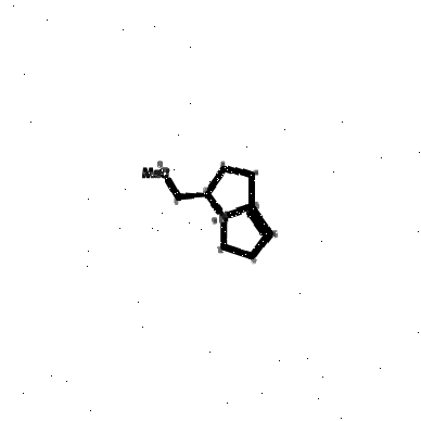 COC[C@H]1CCC2=CCCN21